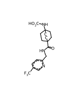 O=C(O)NC12CCC(C(=O)NCc3ccc(C(F)(F)F)cn3)(CC1)CC2